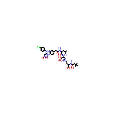 CC(C)CC(NC(=O)Cc1ccc(N/C(=C\[N+](=O)[O-])Nc2ccc(Cl)cc2)cc1)C(=O)NC(CNCCC(NC(=O)CC(C)(C)C)C(=O)O)C(=O)O